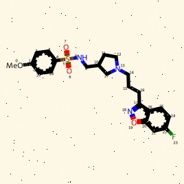 COc1ccc(S(=O)(=O)NCC2CCN(CCCc3noc4cc(F)ccc34)C2)cc1